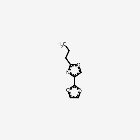 CCCc1nc(-c2ncco2)co1